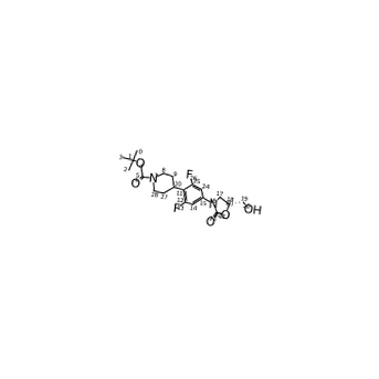 CC(C)(C)OC(=O)N1CCC(c2c(F)cc(N3C[C@H](CO)OC3=O)cc2F)CC1